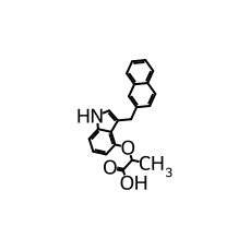 CC(Oc1cccc2[nH]cc(Cc3ccc4ccccc4c3)c12)C(=O)O